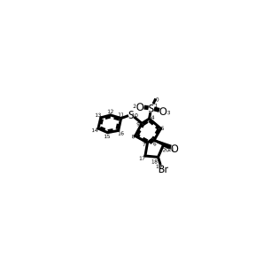 CS(=O)(=O)c1cc2c(cc1Sc1ccccc1)CC(Br)C2=O